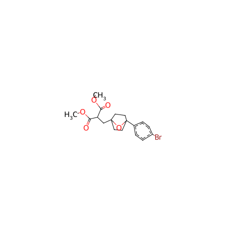 COC(=O)C(CC12CCC(c3ccc(Br)cc3)(CC1)O2)C(=O)OC